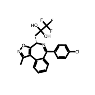 Cc1noc2c1-c1ccccc1C(c1ccc(Cl)cc1)=N[C@H]2CC(O)(O)C(F)(F)F